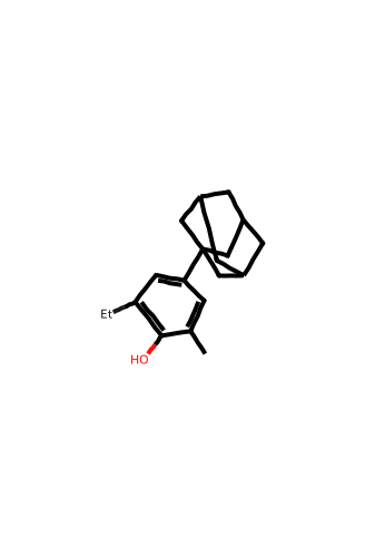 CCc1cc(C23CC4CC(CC(C4)C2)C3)cc(C)c1O